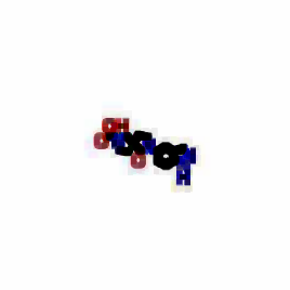 O=C(O)N1CC[C@]2(CCN(c3ccc4[nH]ncc4c3)C2=O)C1